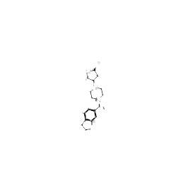 C[C@@H](c1ccc2c(c1)OCC2)N1CCN(C2CNC(=O)C2)CC1